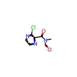 CN(C=O)C(=O)c1nccnc1Cl